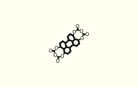 O=C1OC(=O)Oc2ccc3c4ccc5c6c(ccc(c7ccc(c2c73)O1)c64)OC(=O)OC(=O)O5